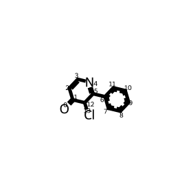 O=C1C=CN=C(c2ccccc2)C1Cl